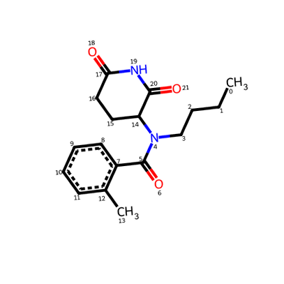 CCCCN(C(=O)c1ccccc1C)C1CCC(=O)NC1=O